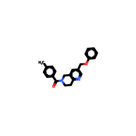 Cc1ccc(C(=O)N2CCc3ncc(COc4ccccc4)cc3C2)cc1